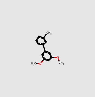 COc1cc(OC)cc(-c2[c]c(C)ccc2)c1